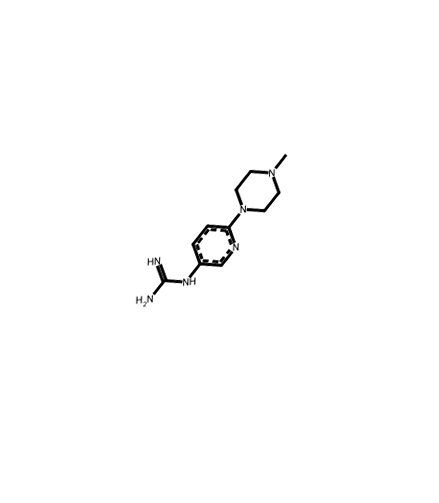 CN1CCN(c2ccc(NC(=N)N)cn2)CC1